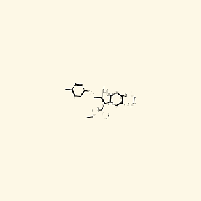 CCOC(=O)c1c(CSc2ccc(C)cc2)n(C)c2cc3c(cc12)OCCO3